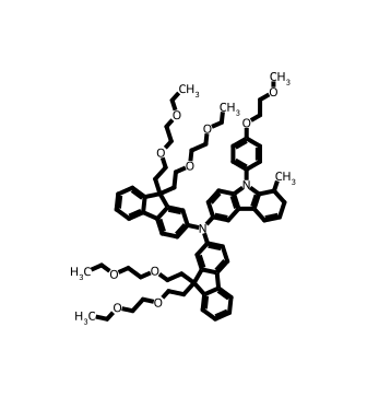 CCOCCOCCC1(CCOCCOCC)c2ccccc2-c2ccc(N(c3ccc4c(c3)C(CCOCCOCC)(CCOCCOCC)c3ccccc3-4)c3ccc4c(c3)c3c(n4-c4ccc(OCCOC)cc4)C(C)CC=C3)cc21